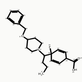 CCCC(N1CCC(OCc2ccccc2)CC1)C1(F)C=CC(C(=O)O)C=C1